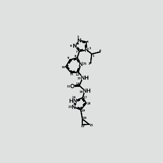 CC(C)n1cnnc1-c1cccc(NC(=O)Nc2cc(C3CC3)n[nH]2)n1